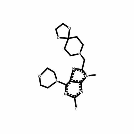 Cn1c(CN2CCC3(CC2)OCCO3)nc2c(N3CCOCC3)nc(Cl)nc21